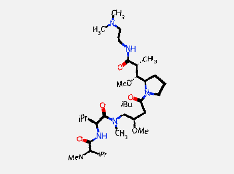 CC[C@H](C)[C@@H]([C@@H](CC(=O)N1CCCC1[C@H](OC)[C@@H](C)C(=O)NCCN(C)C)OC)N(C)C(=O)C(NC(=O)C(NC)C(C)C)C(C)C